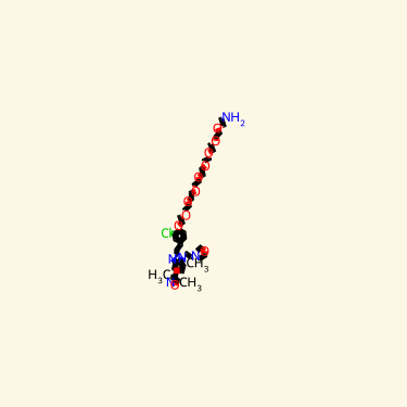 Cc1noc(C)c1-c1ccc2c(c1)nc(CCc1ccc(OCCOCCOCCOCCOCCOCCOCCOCCOCCN)c(Cl)c1)n2CC(C)N1CCOCC1